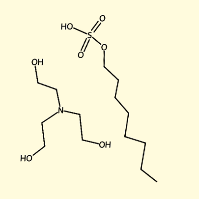 CCCCCCCCOS(=O)(=O)O.OCCN(CCO)CCO